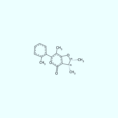 Cc1ccccc1-c1oc(=O)c2c(c1C)O[C@H](C)[C@@H]2C